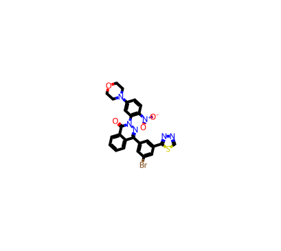 O=c1c2ccccc2c(-c2cc(Br)cc(-c3nncs3)c2)nn1-c1cc(N2CCOCC2)ccc1[N+](=O)[O-]